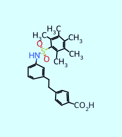 Cc1c(C)c(C)c(S(=O)(=O)Nc2cccc(CCc3ccc(C(=O)O)cc3)c2)c(C)c1C